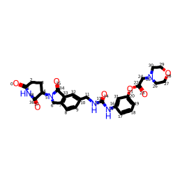 O=C1CCC(N2Cc3ccc(CNC(=O)Nc4cccc(OC(=O)CN5CCOCC5)c4)cc3C2=O)C(=O)N1